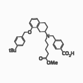 COC(=O)CCCCN(Cc1ccc(C(=O)O)cc1)C1CCc2cccc(OCc3ccc(C(C)(C)C)cc3)c2C1